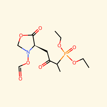 CCOP(=O)(OCC)C(C)C(=O)C[C@@H]1C(=O)OCN1OC=O